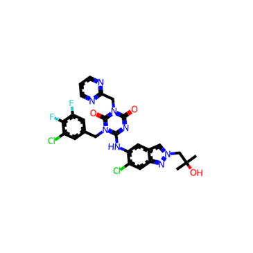 CC(C)(O)Cn1cc2cc(Nc3nc(=O)n(Cc4ncccn4)c(=O)n3Cc3cc(F)c(F)c(Cl)c3)c(Cl)cc2n1